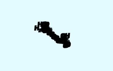 CS(=O)(=O)c1ccc(-c2ccc3cc(O)ccc3c2Oc2ccc(OCCOCCOCCOCCOc3ccc4c(c3)C(=O)N(C(CCC(=O)O)C(N)=O)C4)cc2)cc1